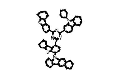 c1ccc(-n2c3ccccc3c3ccc(-c4nc(-c5ccc6sc7ccccc7c6c5)nc(-c5ccc(-n6c7ccccc7c7cc8ccccc8cc76)c6sc7ccccc7c56)n4)cc32)cc1